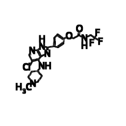 CN1CCC(Nc2c(Cl)cnc3[nH]c(-c4ccc(OCC(=O)NCC(F)(F)F)cc4)nc23)CC1